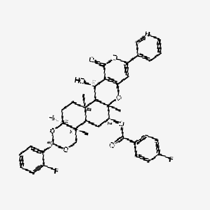 CC12Oc3cc(-c4cccnc4)oc(=O)c3[C@H](O)C1[C@@]1(C)CC[C@@H]3O[C@H](c4ccccc4F)OC[C@@]3(C)C1C[C@@H]2OC(=O)c1ccc(F)cc1